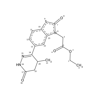 CCOC(=O)Cn1c(=O)sc2ccc(C3=NNC(=O)CC3C)cc21